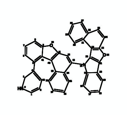 C1=CNCC(c2cccc3oc4cc(-n5c6ccccc6c6oc7ccc8ccccc8c7c65)c5ccccc5c4c23)=C1